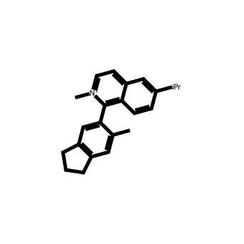 Cc1cc2c(cc1-c1c3ccc(C(C)C)cc3cc[n+]1C)CCC2